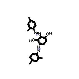 Cc1ccc(/N=N/c2ccc(O)c(/N=N/c3ccc(C)cc3C)c2O)c(C)c1